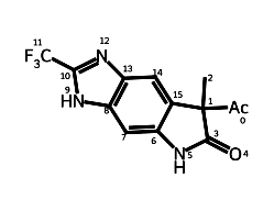 CC(=O)C1(C)C(=O)Nc2cc3[nH]c(C(F)(F)F)nc3cc21